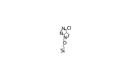 C[Si](C)(C)CCOCN1C=CC2C(Cl)=NC=NC21